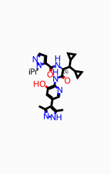 Cc1n[nH]c(C)c1-c1cnc(NC(=O)[C@@H](NC(=O)c2ccnn2C(C)C)C(C2CC2)C2CC2)c(O)c1